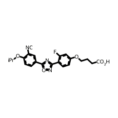 [C-]#[N+]c1cc(-c2nc(-c3ccc(OCCCC(=O)O)cc3F)no2)ccc1OC(C)C